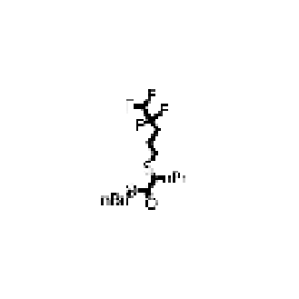 CCCCOC(=O)C(CCC)SCCCC(F)(F)C(F)F